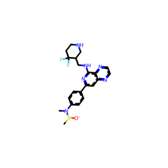 CN(c1ccc(-c2cc3nccnc3c(NCC3CNCCC3(F)F)n2)cc1)[S+](C)[O-]